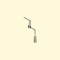 C#CC/N=[C]/C